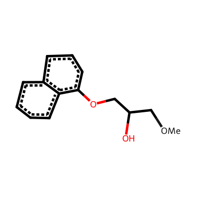 COCC(O)COc1cccc2ccccc12